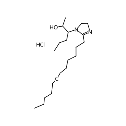 CCCCCCCCCCCCC1=NCCN1C(CCC)C(C)O.Cl